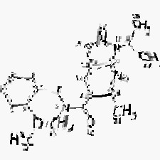 COc1ccccc1CN(C)C(=O)c1cc2cnn(C(C)C)c2nc1C